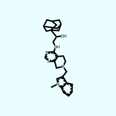 Cn1cc(CN2CCc3c(ncnc3NCC(O)C34CC5CC(CC(C5)C3)C4)C2)c2ccccc21